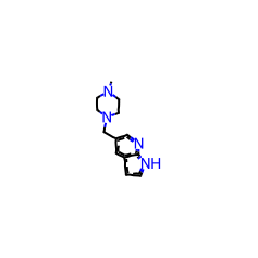 CN1CCN(Cc2cnc3[nH]ccc3c2)CC1